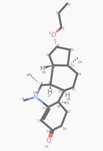 CCCO[C@H]1C[C@H]2[C@@H]3[C@@H](C)N(C)C4=CC(=O)CC[C@]4(C)[C@H]3CC[C@]2(C)C1